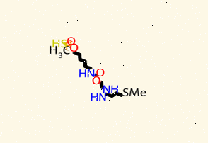 CSCCCC(=N)NCCOC(=O)NCCCCCCOP(C)(=O)S